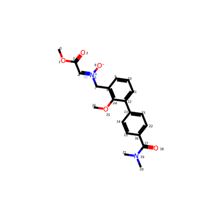 COC(=O)/C=[N+](\[O-])Cc1cccc(-c2ccc(C(=O)N(C)C)cc2)c1OC